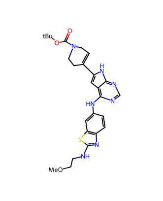 COCCNc1nc2ccc(Nc3ncnc4[nH]c(C5=CCN(C(=O)OC(C)(C)C)CC5)cc34)cc2s1